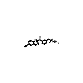 C#Cc1ccc2nc(Nc3cccc(CC(C)(C)N)c3)ncc2c1